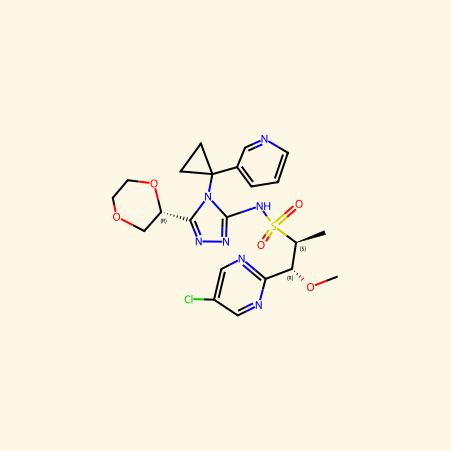 CO[C@H](c1ncc(Cl)cn1)[C@H](C)S(=O)(=O)Nc1nnc([C@@H]2COCCO2)n1C1(c2cccnc2)CC1